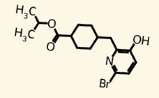 CC(C)OC(=O)C1CCC(Cc2nc(Br)ccc2O)CC1